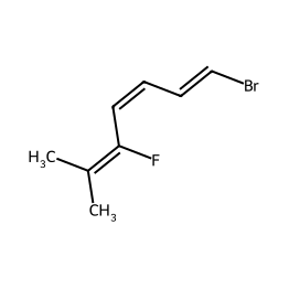 CC(C)=C(F)/C=C\C=C\Br